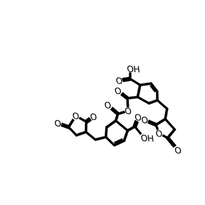 O=C1CC(CC2C=CC(C(=O)O)C(C(=O)OC(=O)C3CC(CC4CC(=O)OC4=O)C=CC3C(=O)O)C2)C(=O)O1